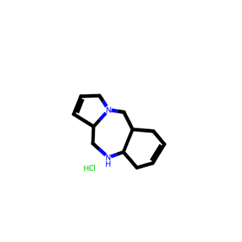 C1=CCC2NCC3C=CCN3CC2C1.Cl